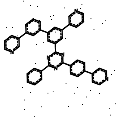 c1ccc(-c2nc(-c3ccc(-c4ccncc4)cc3)nc(-c3cc(-c4cccnc4)cc(-c4cccc(-c5cccnc5)c4)c3)n2)cc1